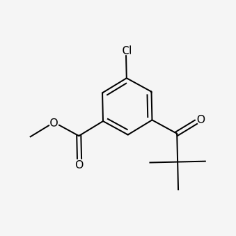 COC(=O)c1cc(Cl)cc(C(=O)C(C)(C)C)c1